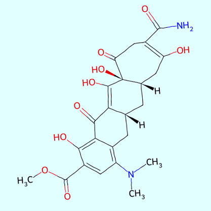 COC(=O)c1cc(N(C)C)c2c(c1O)C(=O)C1=C(O)[C@]3(O)C(=O)CC(C(N)=O)=C(O)C[C@@H]3C[C@@H]1C2